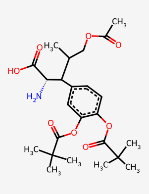 CC(=O)OCC(C)C(c1ccc(OC(=O)C(C)(C)C)c(OC(=O)C(C)(C)C)c1)[C@H](N)C(=O)O